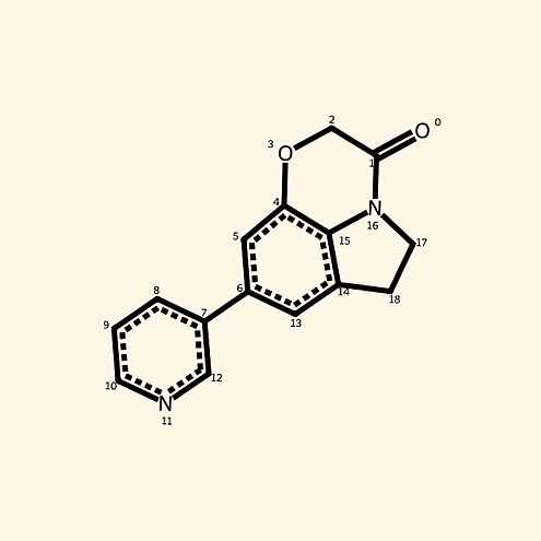 O=C1COc2cc(-c3cccnc3)cc3c2N1CC3